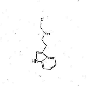 FCNCCc1c[nH]c2ccccc12